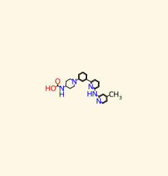 Cc1ccnc(Nc2cccc(-c3cccc(N4CCC(NC(=O)O)CC4)c3)n2)c1